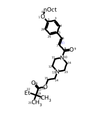 CCCCCCCCOc1ccc(/C=C/C(=O)N2CCN(CCOC(=O)C(C)(C)CC)CC2)cc1